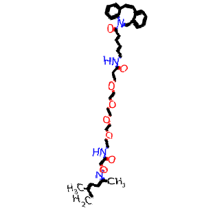 C=C[C@@H](C)CC/C(C)=N/OCC(=O)NCCOCCOCCOCCOCCC(=O)NCCCCCC(=O)N1Cc2ccccc2/C=C\c2ccccc21